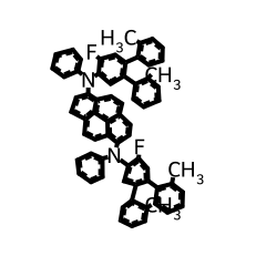 Cc1ccccc1-c1cc(F)c(N(c2ccccc2)c2ccc3ccc4c(N(c5ccccc5)c5cc(-c6ccccc6C)c(-c6ccccc6C)cc5F)ccc5ccc2c3c54)cc1-c1ccccc1C